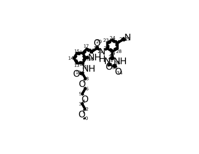 COCCOCCOCC(=O)Nc1cccc2cc(C(=O)Nc3ccc(C#N)cc3-c3noc(=O)[nH]3)[nH]c12